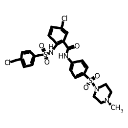 CN1CCN(S(=O)(=O)c2ccc(NC(=O)c3cc(Cl)ccc3NS(=O)(=O)c3ccc(Cl)cc3)cc2)CC1